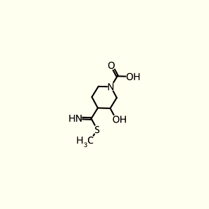 CSC(=N)C1CCN(C(=O)O)CC1O